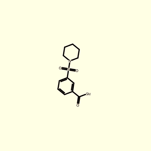 O=C(S)c1cccc(S(=O)(=O)N2CCCCC2)c1